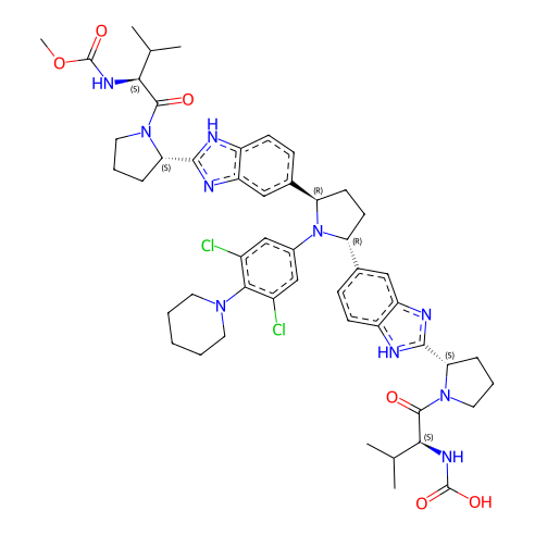 COC(=O)N[C@H](C(=O)N1CCC[C@H]1c1nc2cc([C@H]3CC[C@H](c4ccc5[nH]c([C@@H]6CCCN6C(=O)[C@@H](NC(=O)O)C(C)C)nc5c4)N3c3cc(Cl)c(N4CCCCC4)c(Cl)c3)ccc2[nH]1)C(C)C